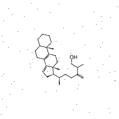 C=C(CC[C@@H](C)[C@H]1CC=C2C3=C(CC[C@@]21C)[C@@]1(C)CCCCC1CC3)C(C)CO